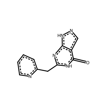 O=c1[nH]c(Cc2ccccn2)nc2[nH]ncc12